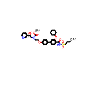 CC(=O)OCCCS(=O)(=O)NC(=O)c1ccc(-c2ccc(OCCN(C[C@@H](O)c3cccnc3)C(=O)OC(C)(C)C)cc2)cc1OC1CCCCC1